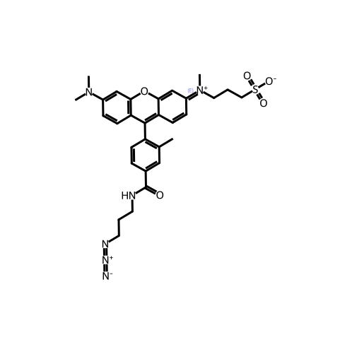 Cc1cc(C(=O)NCCCN=[N+]=[N-])ccc1-c1c2cc/c(=[N+](/C)CCCS(=O)(=O)[O-])cc-2oc2cc(N(C)C)ccc12